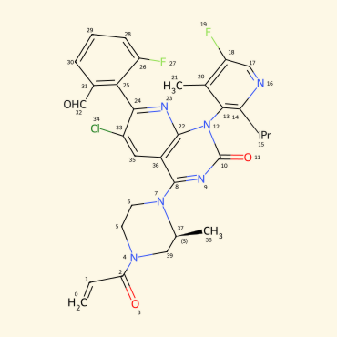 C=CC(=O)N1CCN(c2nc(=O)n(-c3c(C(C)C)ncc(F)c3C)c3nc(-c4c(F)cccc4C=O)c(Cl)cc23)[C@@H](C)C1